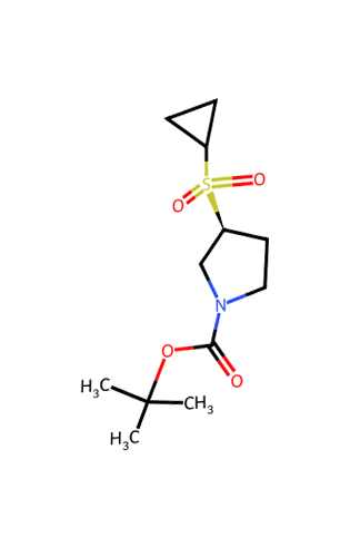 CC(C)(C)OC(=O)N1CC[C@H](S(=O)(=O)C2CC2)C1